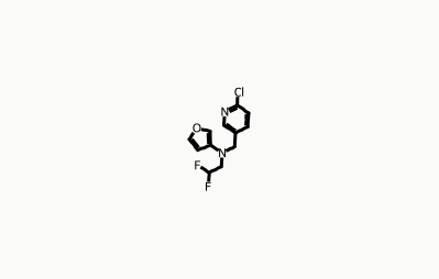 FC(F)CN(Cc1ccc(Cl)nc1)c1ccoc1